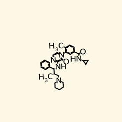 Cc1ccc(C(=O)NC2CC2)cc1-n1ccnc(N[C@@H](c2ccccc2)[C@@H](C)CN2CCCCC2)c1=O